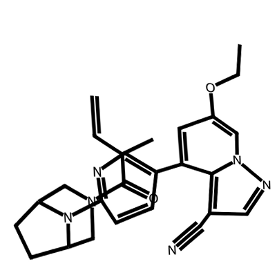 C=CC(C)C(=O)N1CC2CCC(C1)N2c1ccc(-c2cc(OCC)cn3ncc(C#N)c23)cn1